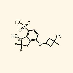 CC1(C#N)CC(Oc2ccc(S(=O)(=O)C(F)(F)F)c3c2CC(F)(F)[C@H]3O)C1